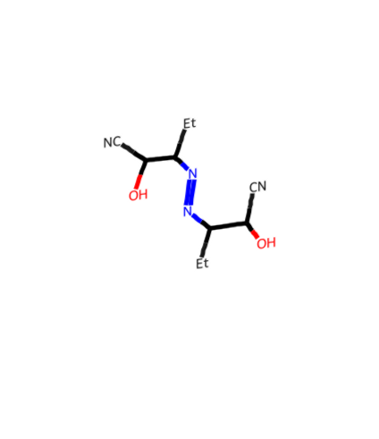 CCC(N=NC(CC)C(O)C#N)C(O)C#N